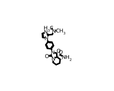 CN(C)Cc1nccn1-c1ccc(N2C(=O)N3CCC[CH][C@]3(C(N)=O)C2=O)cc1